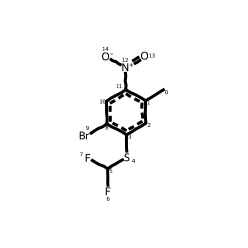 Cc1cc(SC(F)F)c(Br)cc1[N+](=O)[O-]